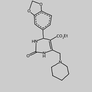 CCOC(=O)C1=C(CN2CCCCC2)NC(=O)NC1c1ccc2c(c1)OCO2